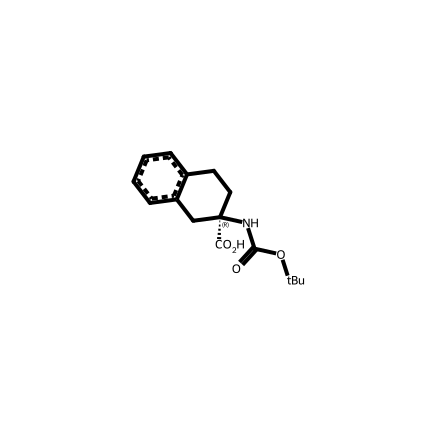 CC(C)(C)OC(=O)N[C@]1(C(=O)O)CCc2ccccc2C1